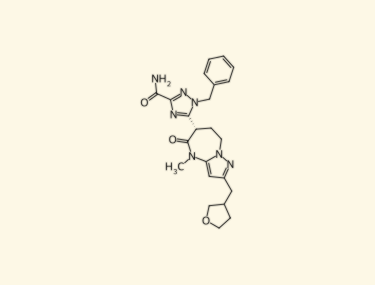 CN1C(=O)[C@H](c2nc(C(N)=O)nn2Cc2ccccc2)CCn2nc(CC3CCOC3)cc21